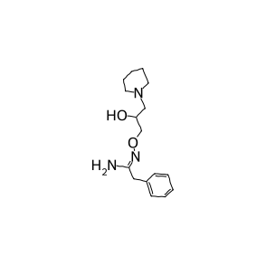 NC(Cc1ccccc1)=NOCC(O)CN1CCCCC1